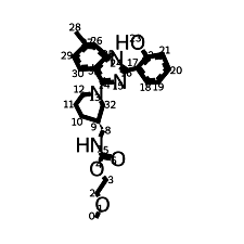 COCCOC(=O)NC[C@@H]1CCCN(c2nc(-c3ccccc3O)nc3cc(C)ccc23)C1